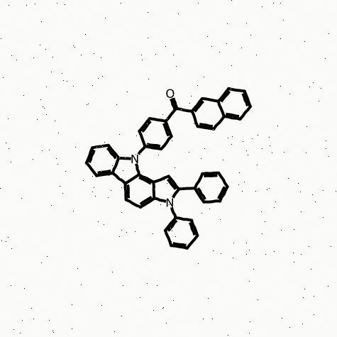 O=C(c1ccc(-n2c3ccccc3c3ccc4c(cc(-c5ccccc5)n4-c4ccccc4)c32)cc1)c1ccc2ccccc2c1